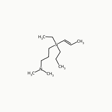 CC=C[Si](CC)(CCC)CCCN(C)C